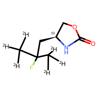 [2H]C([2H])([2H])C(F)(C[C@H]1COC(=O)N1)C([2H])([2H])[2H]